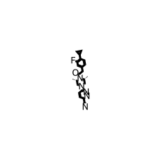 C[C@@H]1CN(c2ccc(C#N)nn2)C[C@H](C)N1C(=O)Cc1ccc(C2CC2)c(F)c1